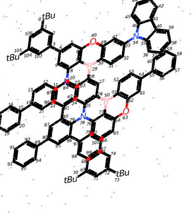 CC(C)(C)c1cc(-c2cc3c4c(c2)N(c2ccc(-c5ccccc5)cc2)c2cc5c(cc2B4c2ccc(-n4c6ccccc6c6ccccc64)cc2O3)B2c3ccc(-c4ccccc4)cc3Oc3cc(-c4cc(C(C)(C)C)cc(C(C)(C)C)c4)cc(c32)N5c2c(-c3ccccc3)cc(-c3ccccc3)cc2-c2ccccc2)cc(C(C)(C)C)c1